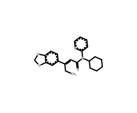 CC/C(=C\C(=O)N(c1ccccn1)C1CCCCC1)c1ccc2c(c1)OCO2